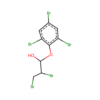 OC(Oc1c(Br)cc(Br)cc1Br)C(Br)CBr